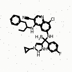 BC(Nc1cc(Cl)c2ncc(C#N)c(NC(CC)Cc3ccccc3)c2c1)(C1=CN(C2CC2)NN1)c1ccc(F)cc1